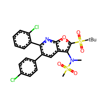 CN(c1c(S(=O)(=O)C(C)(C)C)oc2nc(-c3ccccc3Cl)c(-c3ccc(Cl)cc3)cc12)S(C)(=O)=O